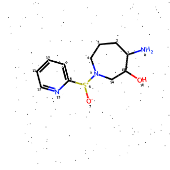 NC1CCCN([S+]([O-])c2ccccn2)CC1O